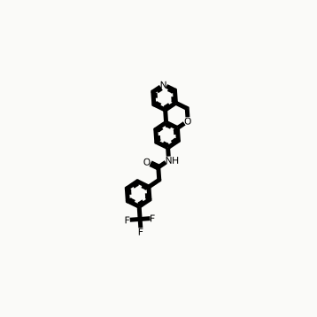 O=C(Cc1cccc(C(F)(F)F)c1)Nc1ccc2c(c1)OCc1cnccc1-2